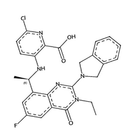 CCn1c(N2Cc3ccccc3C2)nc2c([C@@H](C)Nc3ccc(Cl)nc3C(=O)O)cc(F)cc2c1=O